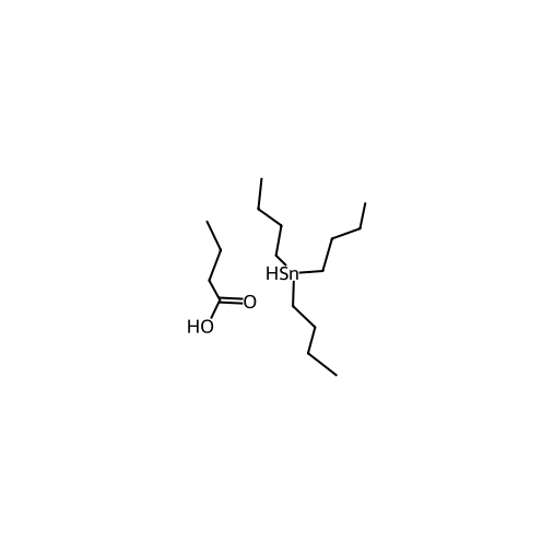 CCCC(=O)O.CCC[CH2][SnH]([CH2]CCC)[CH2]CCC